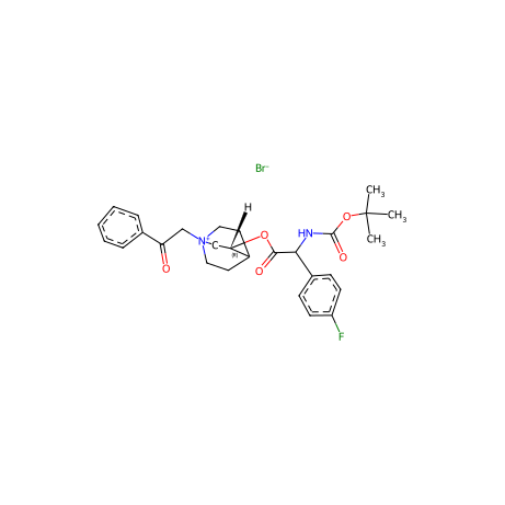 CC(C)(C)OC(=O)NC(C(=O)O[C@H]1C[N+]2(CC(=O)c3ccccc3)CCC1CC2)c1ccc(F)cc1.[Br-]